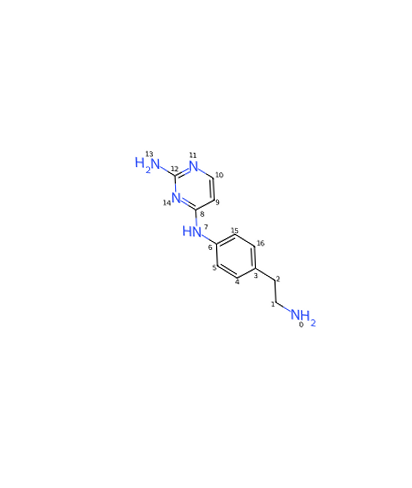 NCCc1ccc(Nc2ccnc(N)n2)cc1